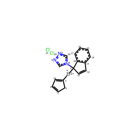 C1=CC[C]([Zr+2][C]2(n3cnnc3)C=Cc3ccccc32)=C1.[Cl-].[Cl-]